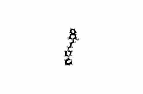 O=C1CC2(CCCC2)CC(=O)N1CCCCN1CCN(c2ccccn2)CC1